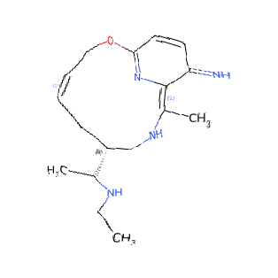 CCNC(C)[C@@H]1C/C=C\COC2=N/C(=C(/C)NC1)C(=N)C=C2